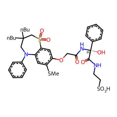 CCCCC1(CCCC)CN(c2ccccc2)c2cc(SC)c(OCC(=O)N[C@](O)(C(=O)NCCS(=O)(=O)O)c3ccccc3)cc2S(=O)(=O)C1